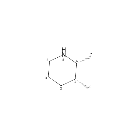 C[C@@H]1CCCN[C@@H]1C